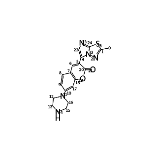 Cc1nn2c(-c3cc4ccc(N5CCNCC5)cc4oc3=O)cnc2s1